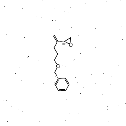 C=C(CCCOCc1ccccc1)[C@@H]1CO1